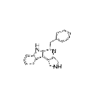 c1ccc(Cc2nc3c(c4c2[nH]c2ccccc24)CNC3)cc1